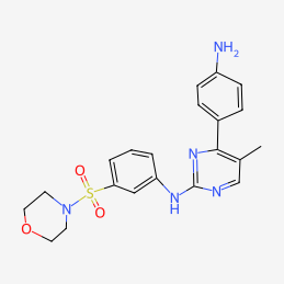 Cc1cnc(Nc2cccc(S(=O)(=O)N3CCOCC3)c2)nc1-c1ccc(N)cc1